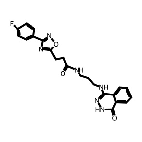 O=C(CCc1nc(-c2ccc(F)cc2)no1)NCCCNc1n[nH]c(=O)c2ccccc12